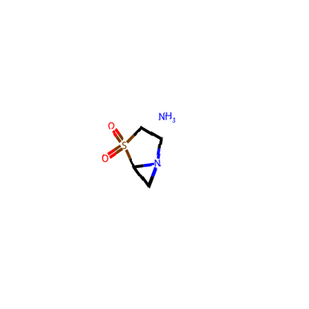 N.O=S1(=O)CCN2CC21